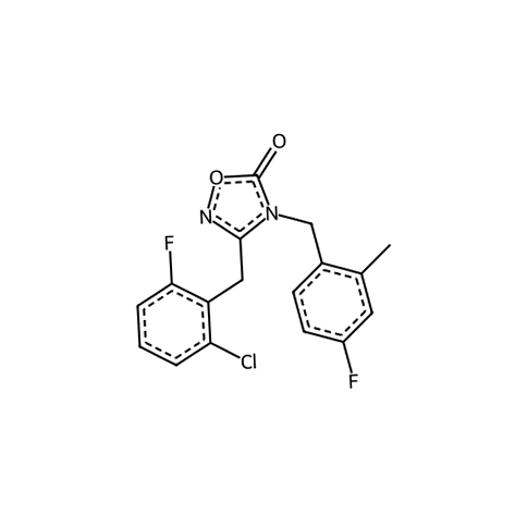 Cc1cc(F)ccc1Cn1c(Cc2c(F)cccc2Cl)noc1=O